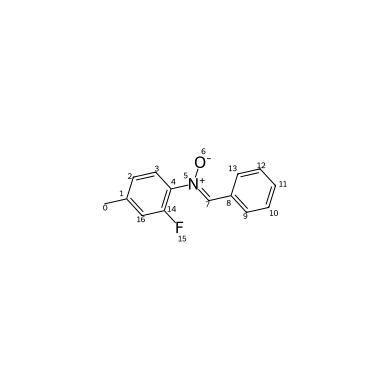 Cc1ccc([N+]([O-])=Cc2ccccc2)c(F)c1